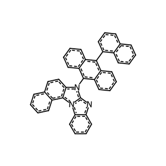 c1ccc2c(-c3c4ccccc4c(-n4c5ccc6ccccc6c5n5c6ccccc6nc45)c4ccccc34)cccc2c1